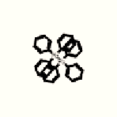 c1cc[c]([Pb]([c]2ccccc2)([c]2ccccc2)[Pb]([c]2ccccc2)([c]2ccccc2)[c]2ccccc2)cc1